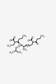 CC(C)[O][Ti+2][O]C(C)C.CCCC(=O)C(CC)C(=O)[O-].CCCC(=O)C(CC)C(=O)[O-]